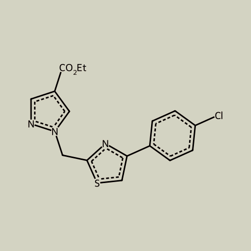 CCOC(=O)c1cnn(Cc2nc(-c3ccc(Cl)cc3)cs2)c1